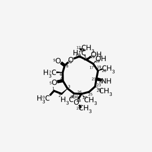 CCC[C@H]1C(=O)[C@@H](C)C(=O)O[C@H](CC)[C@@](C)(O)[C@H](O)[C@@H](C)C(=N)[C@H](C)C[C@@](C)(OC)[C@@H]1C